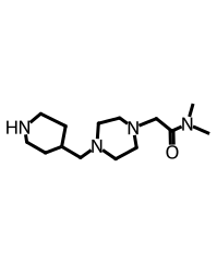 CN(C)C(=O)CN1CCN(CC2CCNCC2)CC1